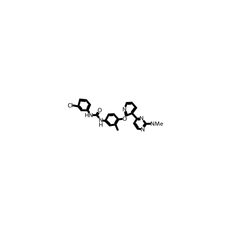 CNc1nccc(-c2cccnc2Oc2ccc(NC(=O)Nc3cccc(Cl)c3)cc2C)n1